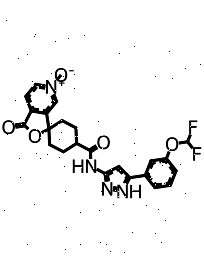 O=C1OC2(CCC(C(=O)Nc3cc(-c4cccc(OC(F)F)c4)[nH]n3)CC2)c2c[n+]([O-])ccc21